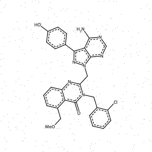 COCc1cccc2nc(Cn3nc(-c4ccc(O)cc4)c4c(N)ncnc43)n(Cc3ccccc3Cl)c(=O)c12